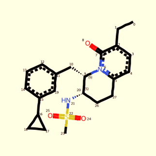 CCc1ccc2n(c1=O)[C@@H](Cc1cccc(C3CC3)c1)[C@@H](NS(C)(=O)=O)CC2